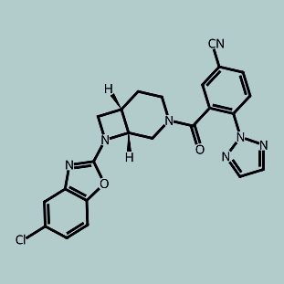 N#Cc1ccc(-n2nccn2)c(C(=O)N2CC[C@H]3CN(c4nc5cc(Cl)ccc5o4)[C@H]3C2)c1